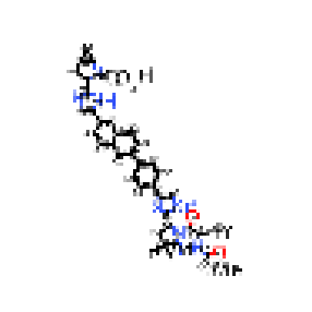 COC(=O)NC(C(=O)N1[C@@H]2C[C@@H]2C[C@H]1c1nc(-c2ccc(-c3ccc4cc(-c5cnc(C6CC7CC7N6C(=O)O)[nH]5)ccc4c3)cc2)c[nH]1)C(C)C